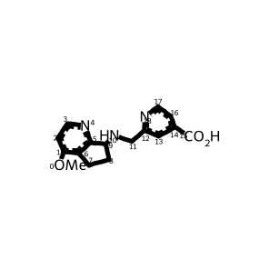 COc1ccnc2c1CCC2NCc1cc(C(=O)O)ccn1